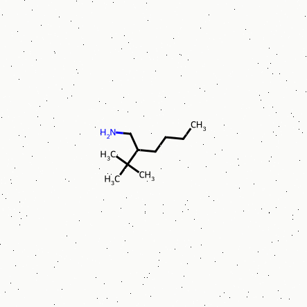 CCCCC(CN)C(C)(C)C